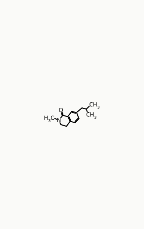 CC(C)Cc1ccc2c(c1)C(=O)N(C)CC2